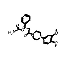 COc1ccc(N2CCN(C(=O)C[C@@H](OC(N)=O)c3ccccc3)CC2)cc1OC